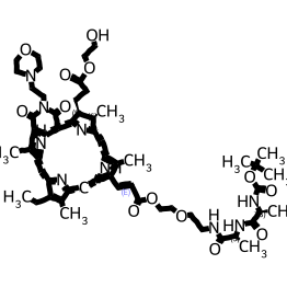 CCC1=C(C)c2cc3[nH]c(cc4nc(c5c6[nH]c(cc1n2)c(C)c6C(=O)N(CCN1CCOCC1)C5=O)[C@@H](CCC(=O)OCCO)[C@@H]4C)c(C)c3/C=C/C(=O)OCCOCCNC(=O)[C@H](C)NC(=O)[C@H](C)NC(=O)OC(C)(C)C